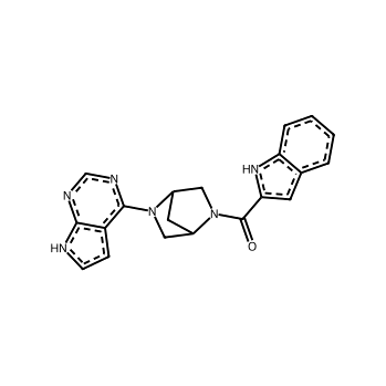 O=C(c1cc2ccccc2[nH]1)N1CC2CC1CN2c1ncnc2[nH]ccc12